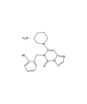 N#Cc1ccccc1Cn1c(N2CCC[C@@H](N)C2)cc2nccn2c1=O